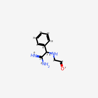 N=C(N)C(NC[C]=O)c1ccccc1